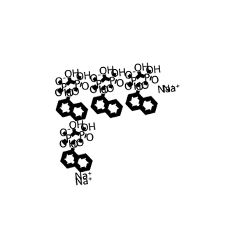 O=P(O)(O)C(O)P(=O)([O-])Oc1cccc2ccccc12.O=P(O)(O)C(O)P(=O)([O-])Oc1cccc2ccccc12.O=P(O)(O)C(O)P(=O)([O-])Oc1cccc2ccccc12.O=P(O)(O)C(O)P(=O)([O-])Oc1cccc2ccccc12.[Na+].[Na+].[Na+].[Na+]